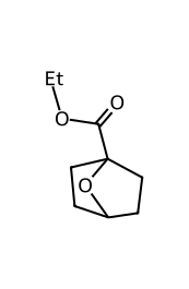 CCOC(=O)C12CCC(CC1)O2